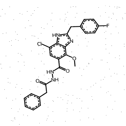 COc1c(C(=O)NNC(=O)Cc2ccccc2)cc(Cl)c2[nH]c(Cc3ccc(F)cc3)nc12